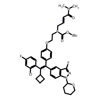 CN(C)C(=O)/C=C/CN(CCOc1ccc(/C(=C(\c2ccc(F)cc2Cl)C2CCC2)c2ccc3c(c2)c(F)nn3C2CCCCO2)cc1)C(=O)OC(C)(C)C